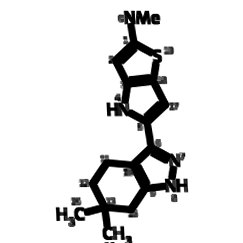 CNc1cc2[nH]c(-c3n[nH]c4c3CCC(C)(C)C4)cc2s1